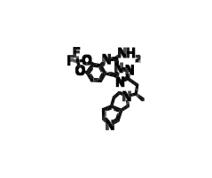 C[C@H](Cc1nc2c3ccc4c(c3nc(N)n2n1)OC(F)(F)O4)N1CCc2ccncc2C1